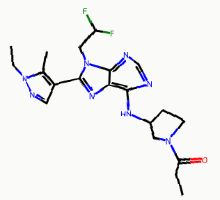 CCC(=O)N1CCC(Nc2ncnc3c2nc(-c2cnn(CC)c2C)n3CC(F)F)C1